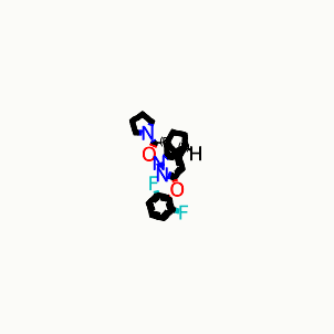 O=C(N1CCCC1)[C@]12CC[C@H](C1)c1cc(Oc3c(F)cccc3F)nnc12